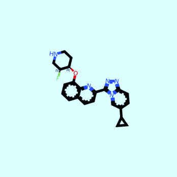 F[C@H]1CNCC[C@H]1Oc1cccc2ccc(-c3nnc4ccc(C5CC5)cn34)nc12